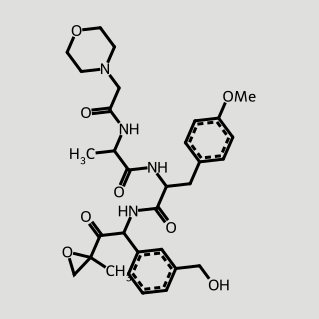 COc1ccc(CC(NC(=O)C(C)NC(=O)CN2CCOCC2)C(=O)NC(C(=O)C2(C)CO2)c2cccc(CO)c2)cc1